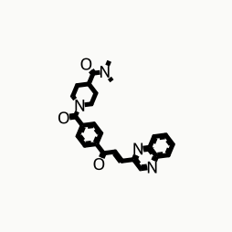 CN(C)C(=O)C1CCN(C(=O)c2ccc(C(=O)C=Cc3cnc4ccccc4n3)cc2)CC1